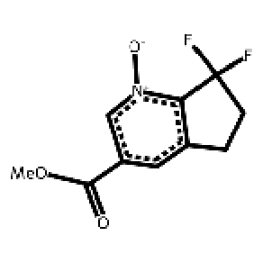 COC(=O)c1cc2c([n+]([O-])c1)C(F)(F)CC2